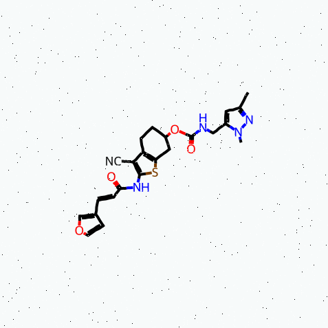 Cc1cc(CNC(=O)OC2CCc3c(sc(NC(=O)C=Cc4ccoc4)c3C#N)C2)n(C)n1